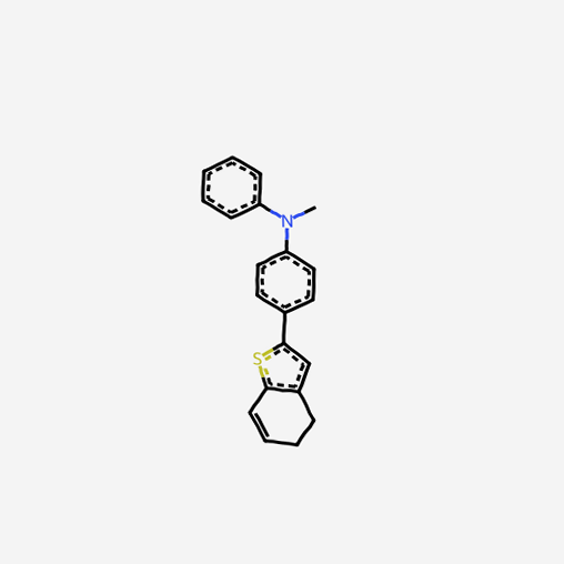 CN(c1ccccc1)c1ccc(-c2cc3c(s2)C=CCC3)cc1